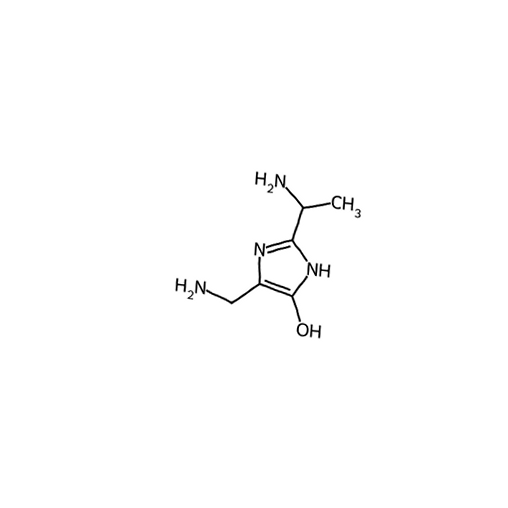 CC(N)c1nc(CN)c(O)[nH]1